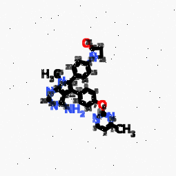 Cc1ccnc(Oc2ccc(-c3c(-c4ccc(N5CCC5=O)cc4)n(C)c4ncnc(N)c34)cc2)n1